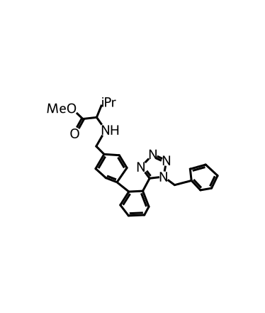 COC(=O)C(NCc1ccc(-c2ccccc2-c2nnnn2Cc2ccccc2)cc1)C(C)C